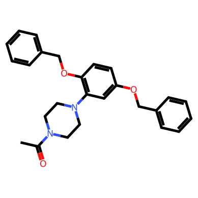 CC(=O)N1CCN(c2cc(OCc3ccccc3)ccc2OCc2ccccc2)CC1